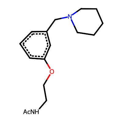 CC(=O)NCCOc1cccc(CN2CCCCC2)c1